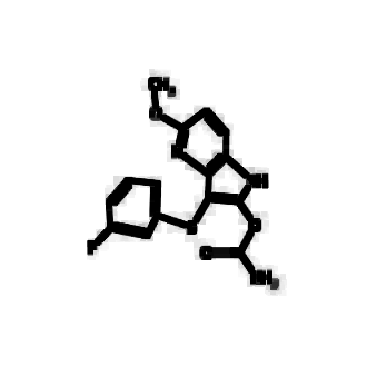 COc1ccc2[nH]c(OC(N)=O)c(Sc3cccc(F)c3)c2n1